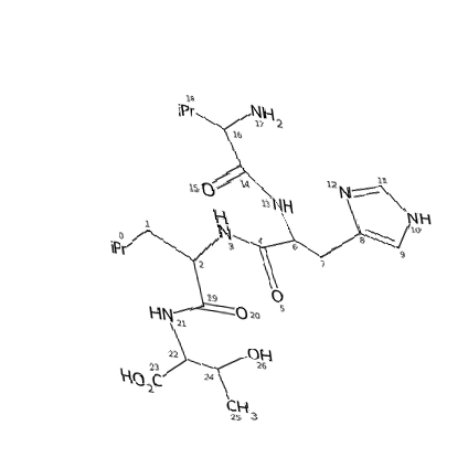 CC(C)CC(NC(=O)C(Cc1c[nH]cn1)NC(=O)C(N)C(C)C)C(=O)NC(C(=O)O)C(C)O